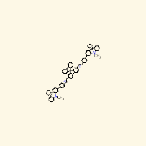 CN1c2ccccc2[Si]2(CCCC2)c2ccc(-c3ccc(/C=C/c4ccc5c(c4)C4(c6ccccc6-c6ccccc64)c4cc(/C=C/c6ccc(-c7ccc8c(c7)N(C)c7ccccc7[Si]87CCCC7)cc6)ccc4-5)cc3)cc21